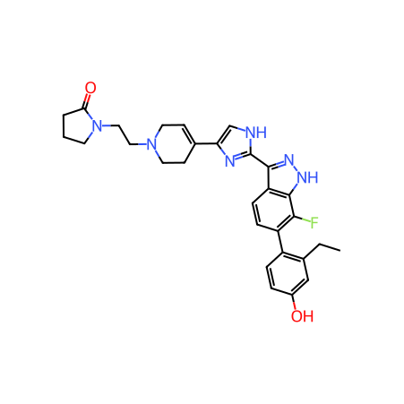 CCc1cc(O)ccc1-c1ccc2c(-c3nc(C4=CCN(CCN5CCCC5=O)CC4)c[nH]3)n[nH]c2c1F